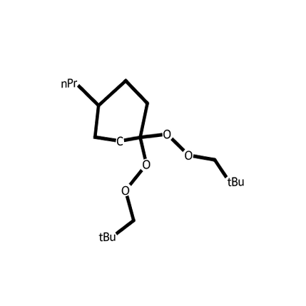 CCCC1CCC(OOCC(C)(C)C)(OOCC(C)(C)C)CC1